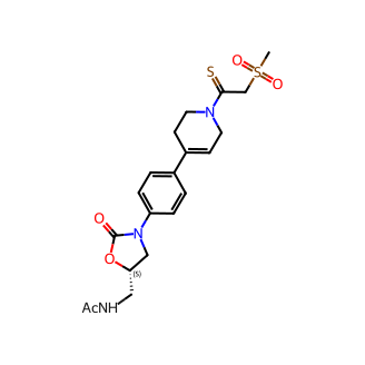 CC(=O)NC[C@H]1CN(c2ccc(C3=CCN(C(=S)CS(C)(=O)=O)CC3)cc2)C(=O)O1